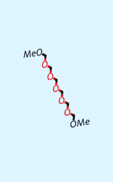 COCOCOCOCOCOCOC